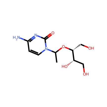 CC(O[C@H](CO)[C@@H](O)CO)n1ccc(N)nc1=O